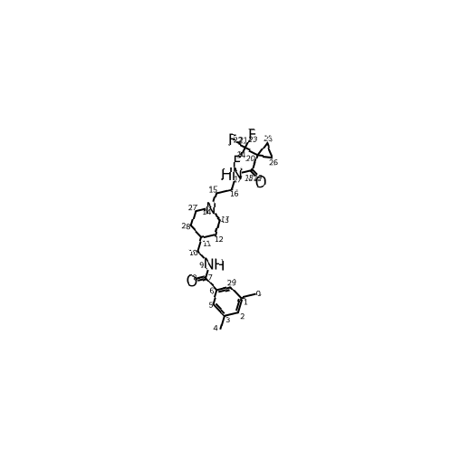 Cc1cc(C)cc(C(=O)NCC2CCN(CCNC(=O)C3(C(F)(F)F)CC3)CC2)c1